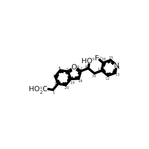 O=C(O)Cc1ccc2oc(C(O)Cc3ccncc3F)cc2c1